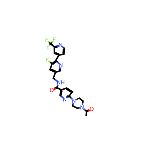 CC(=O)N1CCN(c2ccc(C(=O)NCc3cnc(-c4ccnc(C(F)(F)F)c4)c(F)c3)cn2)CC1